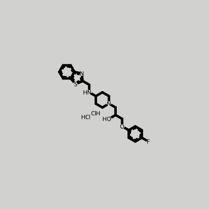 Cl.Cl.OC(COc1ccc(F)cc1)CN1CCC(NCc2nc3ccccc3s2)CC1